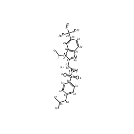 CCn1c([C@@H](C)NS(=O)(=O)c2ccc(CC(C)C)cc2)nc2ccc(C(F)(F)F)cc21